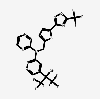 OC(c1cnnc(N(Cc2ccc(-c3noc(C(F)(F)F)n3)s2)c2cnccn2)c1)(C(F)(F)F)C(F)(F)F